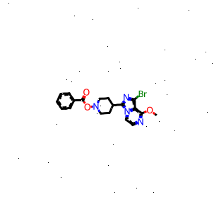 COc1nccn2c(C3CCN(OC(=O)c4ccccc4)CC3)nc(Br)c12